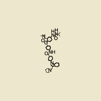 CC(C)NC(=O)Nc1ccc(Oc2ccc(NC(=O)c3ccc(-n4cc(CN5CCCC5)c5ccccc54)cc3)cc2)c(C(=O)N(C)C)c1